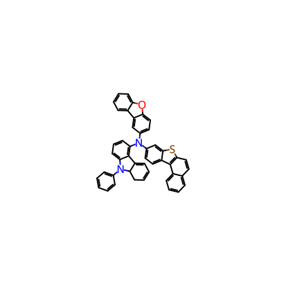 C1=CCC2C(=C1)c1c(N(c3ccc4c(c3)sc3ccc5ccccc5c34)c3ccc4oc5ccccc5c4c3)cccc1N2c1ccccc1